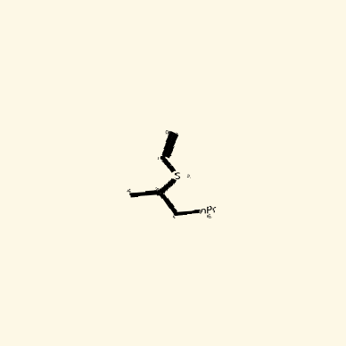 C=CSC(C)CCCC